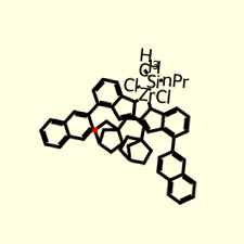 CCC[SiH](C)[Zr]([Cl])([Cl])([CH]1C(CC23CCC(CC2)C3)=Cc2c(-c3ccc4ccccc4c3)cccc21)[CH]1C(CC23CCC(CC2)C3)=Cc2c(-c3ccc4ccccc4c3)cccc21